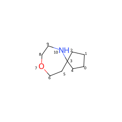 C1CCC2(C1)CCOCCN2